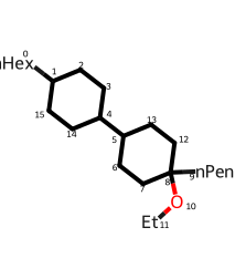 CCCCCCC1CCC(C2CCC(CCCCC)(OCC)CC2)CC1